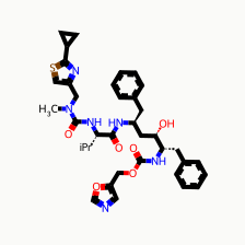 CC(C)[C@H](NC(=O)N(C)Cc1csc(C2CC2)n1)C(=O)N[C@@H](Cc1ccccc1)C[C@H](O)[C@H](Cc1ccccc1)NC(=O)OCc1cnco1